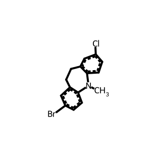 CN1c2ccc(Cl)cc2CCc2cc(Br)ccc21